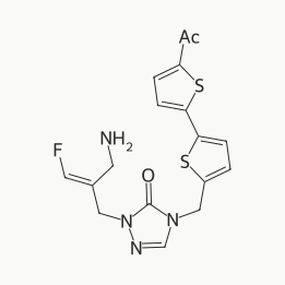 CC(=O)c1ccc(-c2ccc(Cn3cnn(C/C(=C/F)CN)c3=O)s2)s1